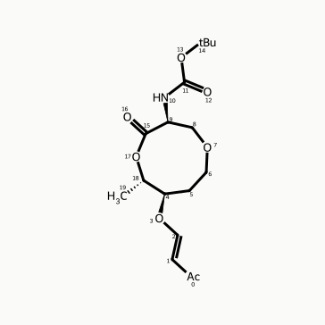 CC(=O)/C=C/O[C@@H]1CCOC[C@H](NC(=O)OC(C)(C)C)C(=O)O[C@H]1C